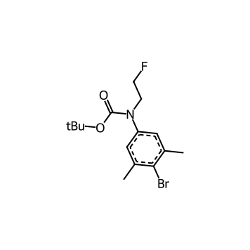 Cc1cc(N(CCF)C(=O)OC(C)(C)C)cc(C)c1Br